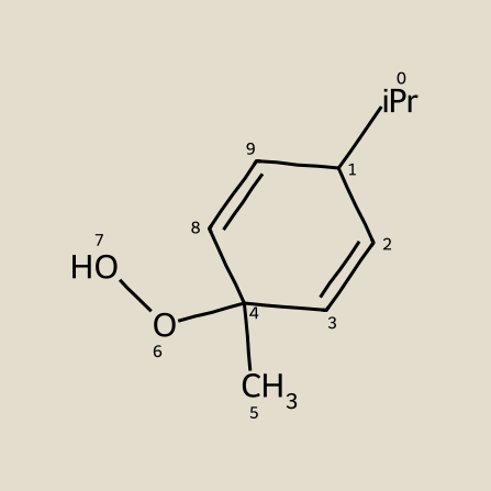 CC(C)C1C=CC(C)(OO)C=C1